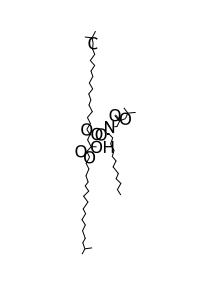 CC(C)CCCCCCCCCCCCCCCOC(=O)CC(O)C(=O)OCCCCCCCCCCCCCCCC(C)C.CCCCCCCCCCCC(=O)N(C)CC(=O)OC(C)C